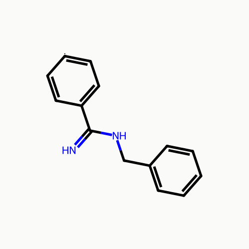 N=C(NCc1ccccc1)c1cc[c]cc1